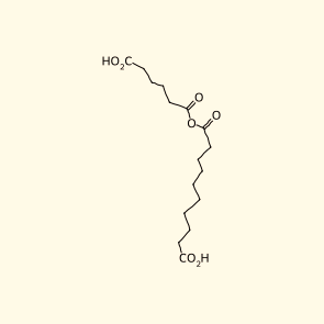 O=C(O)CCCCCCCCC(=O)OC(=O)CCCCC(=O)O